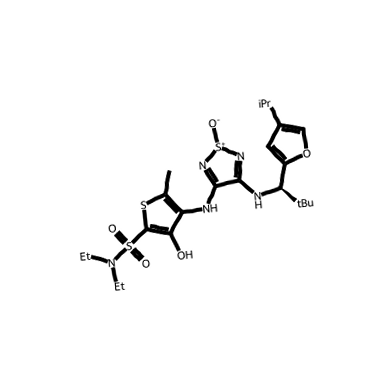 CCN(CC)S(=O)(=O)c1sc(C)c(Nc2n[s+]([O-])nc2N[C@@H](c2cc(C(C)C)co2)C(C)(C)C)c1O